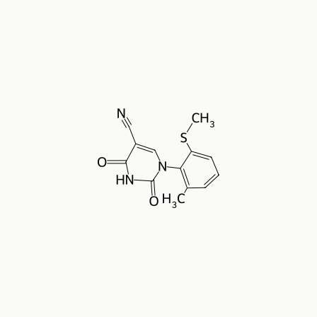 CSc1cccc(C)c1-n1cc(C#N)c(=O)[nH]c1=O